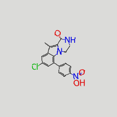 Cc1c2n(c3c(-c4ccc([N+](=O)O)cc4)cc(Cl)cc13)CCNC2=O